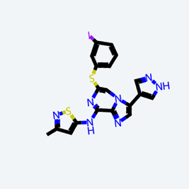 Cc1cc(Nc2nc(Sc3cccc(I)c3)cn3c(-c4cn[nH]c4)cnc23)sn1